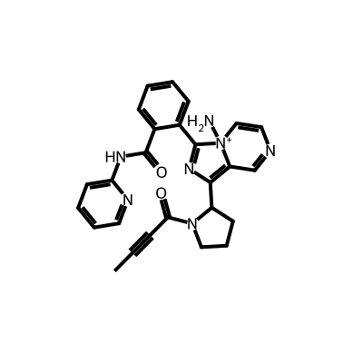 CC#CC(=O)N1CCCC1C1=C2C=NC=C[N+]2(N)C(c2ccccc2C(=O)Nc2ccccn2)=N1